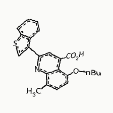 CCCCOc1ccc(C)c2nc(-c3csc4ccccc34)cc(C(=O)O)c12